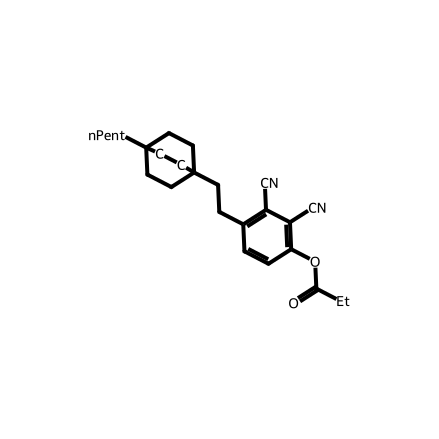 CCCCCC12CCC(CCc3ccc(OC(=O)CC)c(C#N)c3C#N)(CC1)CC2